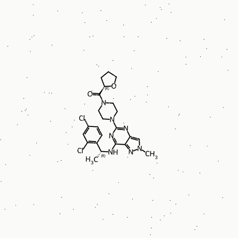 C[C@@H](Nc1nc(N2CCN(C(=O)[C@H]3CCCO3)CC2)nc2cn(C)nc12)c1ccc(Cl)cc1Cl